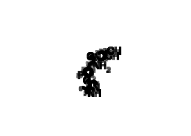 Cc1c[nH]c2nccc(Oc3ccc(C[C@H](N)C(=O)N4CCC(O)(CO)CC4)cc3F)c12